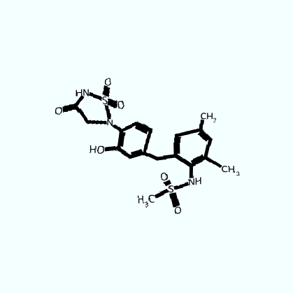 Cc1cc(C)c(NS(C)(=O)=O)c(Cc2ccc(N3CC(=O)NS3(=O)=O)c(O)c2)c1